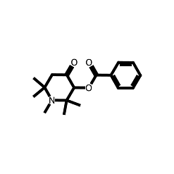 CN1C(C)(C)CC(=O)C(OC(=O)c2ccccc2)C1(C)C